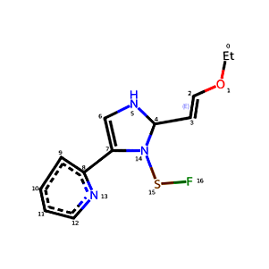 CCO/C=C/C1NC=C(c2ccccn2)N1SF